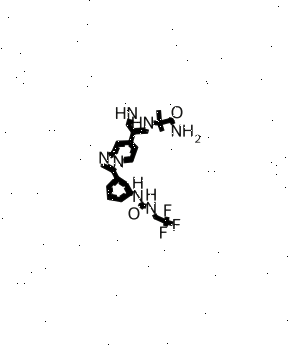 CC(C)(N/C=C(\C=N)c1ccn2c(-c3cccc(NC(=O)NCC(F)(F)F)c3)cnc2c1)C(N)=O